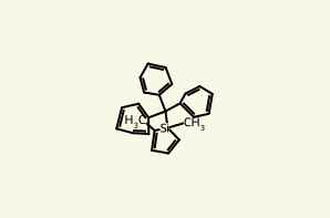 CC1=CC=C[Si]1(C)C(c1ccccc1)(c1ccccc1)c1ccccc1